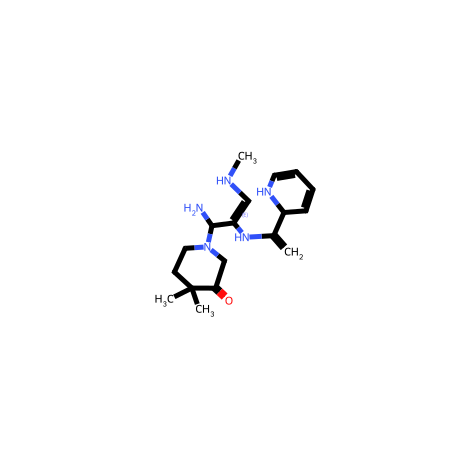 C=C(N/C(=C/NC)C(N)N1CCC(C)(C)C(=O)C1)C1C=CC=CN1